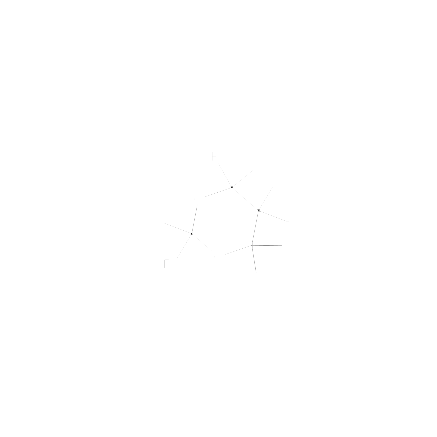 CCC1(C(F)(F)F)OC(F)(F)C(F)(F)C(F)(F)O1